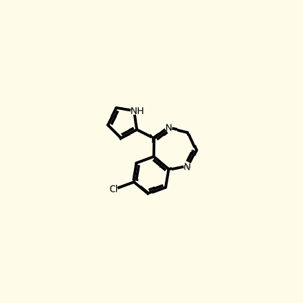 Clc1ccc2c(c1)C(c1ccc[nH]1)=NCC=N2